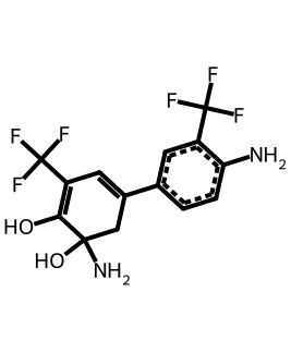 Nc1ccc(C2=CC(C(F)(F)F)=C(O)C(N)(O)C2)cc1C(F)(F)F